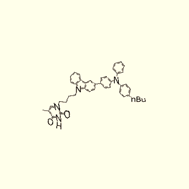 CCCCc1ccc(N(c2ccccc2)c2ccc(-c3ccc4c(c3)c3ccccc3n4CCCCn3cc(C)c(=O)[nH]c3=O)cc2)cc1